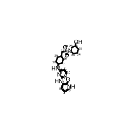 O=c1[nH]cccc1Nc1nccc(NC2CCC(CS(=O)(=O)N3CCCC(O)C3)CC2)n1